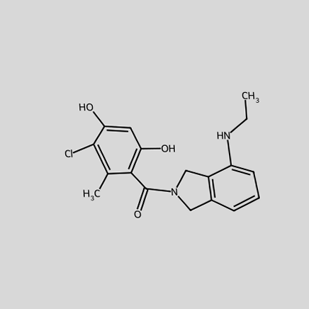 CCNc1cccc2c1CN(C(=O)c1c(O)cc(O)c(Cl)c1C)C2